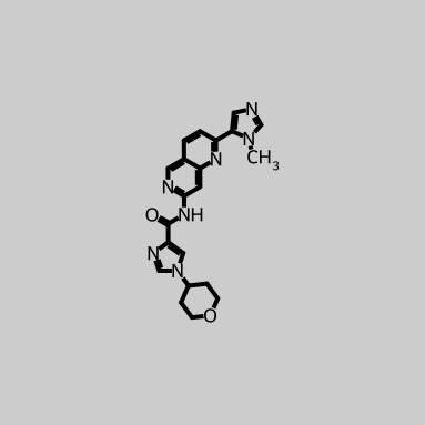 Cn1cncc1-c1ccc2cnc(NC(=O)c3cn(C4CCOCC4)cn3)cc2n1